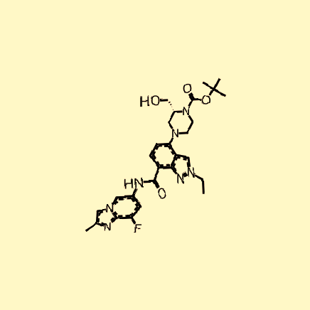 CCn1cc2c(N3CCN(C(=O)OC(C)(C)C)[C@@H](CO)C3)ccc(C(=O)Nc3cc(F)c4nc(C)cn4c3)c2n1